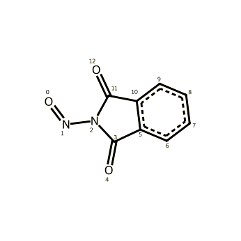 O=NN1C(=O)c2ccccc2C1=O